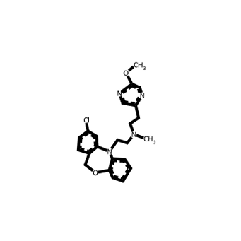 COc1cnc(CCN(C)CCN2c3cc(Cl)ccc3COc3ccccc32)cn1